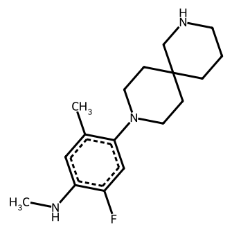 CNc1cc(C)c(N2CCC3(CCCNC3)CC2)cc1F